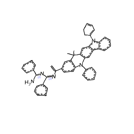 C=C(/N=C(\N=C(/N)c1ccccc1)c1ccccc1)c1ccc2c(c1)C(C)(C)c1cc3c(cc1N2c1ccccc1)c1ccccc1n3C1=CC=CCC1